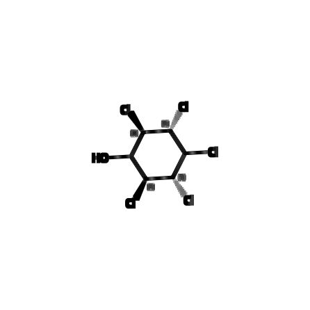 OC1[C@@H](Cl)[C@H](Cl)C(Cl)[C@H](Cl)[C@H]1Cl